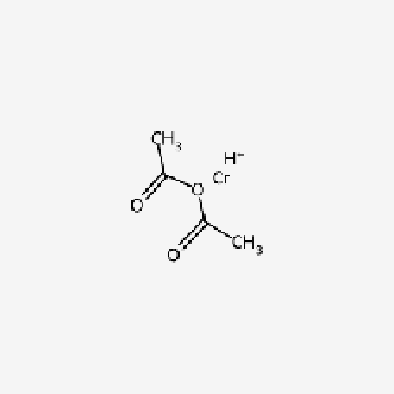 CC(=O)OC(C)=O.[Cr].[H+]